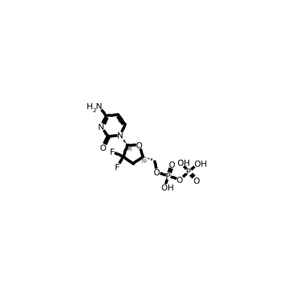 Nc1ccn([C@@H]2O[C@H](COP(=O)(O)OP(=O)(O)O)CC2(F)F)c(=O)n1